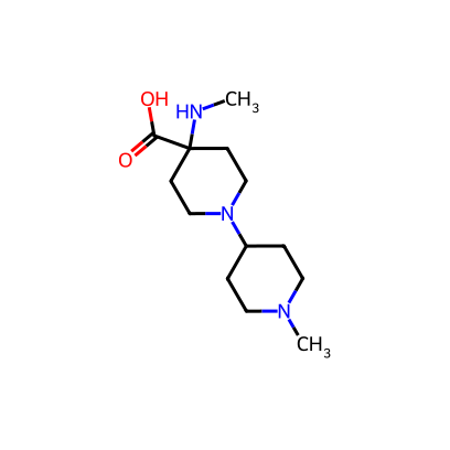 CNC1(C(=O)O)CCN(C2CCN(C)CC2)CC1